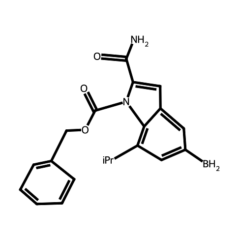 Bc1cc(C(C)C)c2c(c1)cc(C(N)=O)n2C(=O)OCc1ccccc1